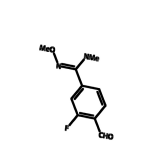 CN/C(=N\OC)c1ccc(C=O)c(F)c1